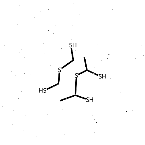 CC(S)SC(C)S.SCSCS